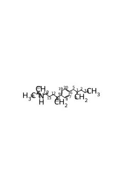 C=C(CCC)Cc1ccc(C(=C)CCCNC(=C)C)cc1